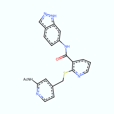 CC(=O)Nc1cc(CSc2ncccc2C(=O)Nc2ccc3cn[nH]c3c2)ccn1